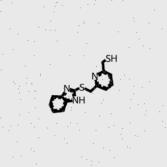 SCc1cccc(CSc2nc3ccccc3[nH]2)n1